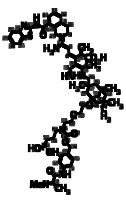 C=C(C(=O)O)C(=C\C=C(/N)N1CCc2cccc(C(=O)Nc3nc4ccccc4s3)c2C1)/C(C=N)=C(\C)NCC1(C)CC2(C)CC(C)(C)CC(OCCOCCN(CCCP(O)O)C(=O)OCc3ccc(NC(=O)C(C)NC)cc3)(C1)C2